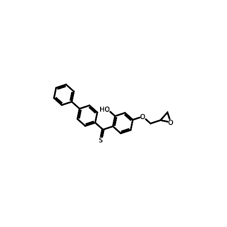 Oc1cc(OCC2CO2)ccc1C(=S)c1ccc(-c2ccccc2)cc1